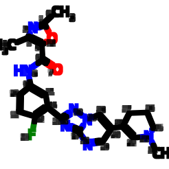 Cc1nc(C)c(C(=O)Nc2ccc(F)c(-c3nc4ncc(C5=CN(C)CCC5)cn4n3)c2)o1